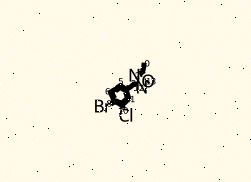 Cc1nc(-c2ccc(Br)c(Cl)c2)no1